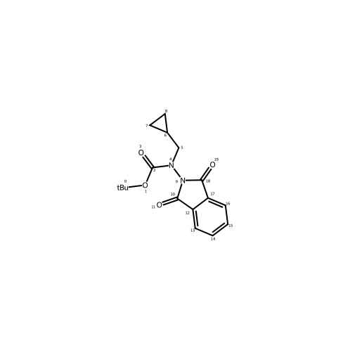 CC(C)(C)OC(=O)N(CC1CC1)N1C(=O)c2ccccc2C1=O